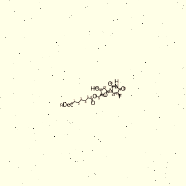 CCCCCCCCCCCCCCCC(=O)OC[C@@H]1O[C@H](n2cc(F)c(=O)[nH]c2=O)CC1O